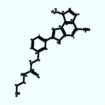 CNc1nc2[nH]c(-c3cccc(COC(=O)NCCO)c3)cc2c2c1ncn2C